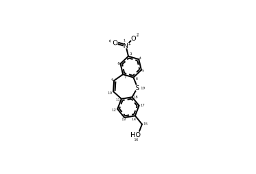 O=[N+]([O-])c1ccc2c(c1)C=Cc1ccc(CO)cc1S2